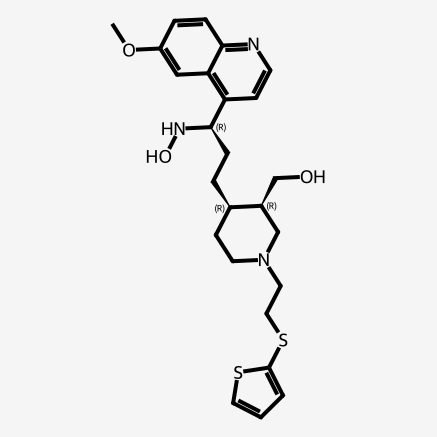 COc1ccc2nccc([C@@H](CC[C@@H]3CCN(CCSc4cccs4)C[C@@H]3CO)NO)c2c1